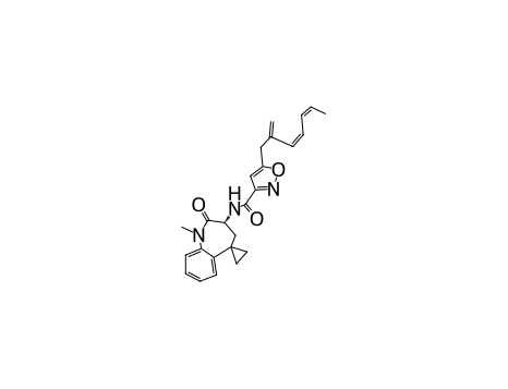 C=C(/C=C\C=C/C)Cc1cc(C(=O)N[C@H]2CC3(CC3)c3ccccc3N(C)C2=O)no1